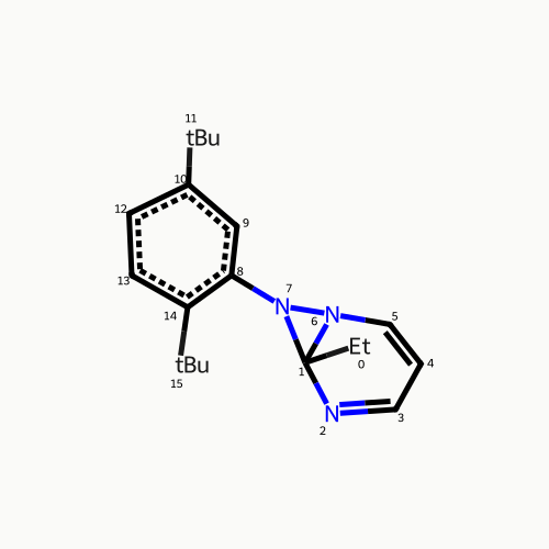 CCC12N=CC=CN1N2c1cc(C(C)(C)C)ccc1C(C)(C)C